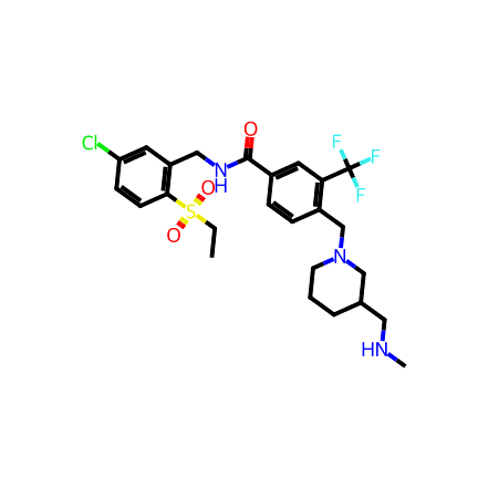 CCS(=O)(=O)c1ccc(Cl)cc1CNC(=O)c1ccc(CN2CCCC(CNC)C2)c(C(F)(F)F)c1